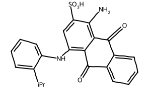 CC(C)c1ccccc1Nc1cc(S(=O)(=O)O)c(N)c2c1C(=O)c1ccccc1C2=O